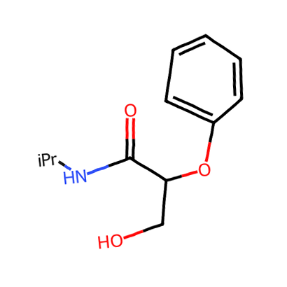 CC(C)NC(=O)C(CO)Oc1ccccc1